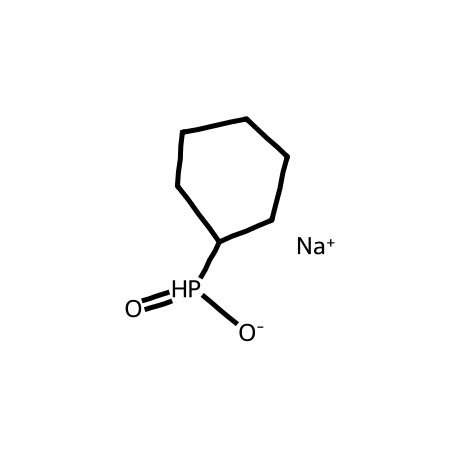 O=[PH]([O-])C1CCCCC1.[Na+]